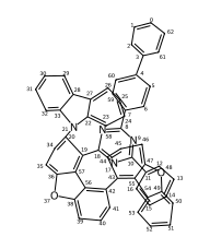 c1ccc(-c2ccc(-c3nc(-c4ccccc4)nc(-c4c(-n5c6ccccc6c6ccccc65)ccc5oc6cccc(-c7cccc8oc9ccccc9c78)c6c45)n3)cc2)cc1